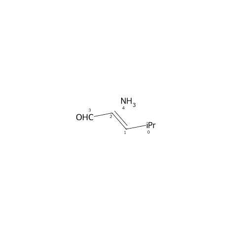 CC(C)C=CC=O.N